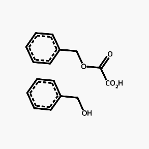 O=C(O)C(=O)OCc1ccccc1.OCc1ccccc1